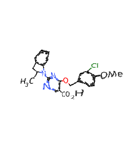 COc1ccc(COc2nc(N3c4ccccc4CC3C)ncc2C(=O)O)cc1Cl